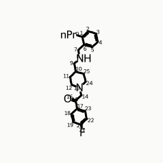 CCCc1ccccc1CNCC1CCN(CC(=O)c2ccc(F)cc2)CC1